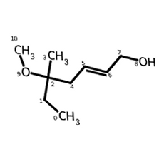 CCC(C)(CC=CCO)OC